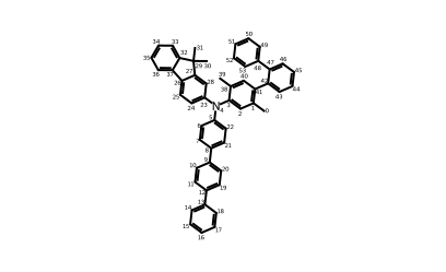 Cc1cc(N(c2ccc(-c3ccc(-c4ccccc4)cc3)cc2)c2ccc3c(c2)C(C)(C)c2ccccc2-3)c(C)cc1-c1ccccc1-c1ccccc1